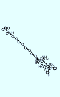 CC(C)[C@H](NC(=O)CCOCCOCCOCCOCCOCCOCCOCCOCCNC(=O)CCN1C(=O)C=CC1=O)C(=O)N(CCCN(C(=O)CO)C(c1cc(-c2cc(F)ccc2F)cn1Cc1ccccc1)C(C)(C)C)[C@@H](C)C(N)=O